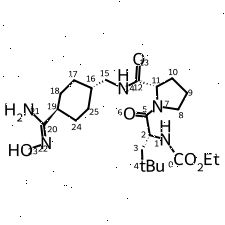 CCOC(=O)N[C@H](CC(C)(C)C)C(=O)N1CCC[C@H]1C(=O)NC[C@H]1CC[C@H](C(N)=NO)CC1